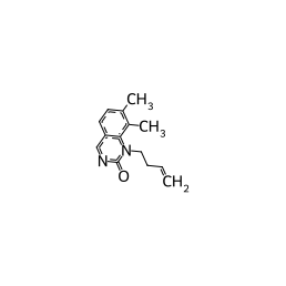 C=CCCn1c(=O)ncc2ccc(C)c(C)c21